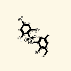 Cc1cc(CF)c(Br)c(NS(=O)(=O)c2c(C(C)C)cc(C(C)C)cc2C(C)C)c1